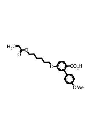 C=CC(=O)OCCCCCCOc1ccc(C(=O)O)c(-c2ccc(OC)cc2)c1